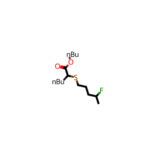 CCCCOC(=O)C(CCCC)SCCCC(C)F